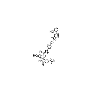 Cc1ncsc1-c1ccc([Si@H](C)NC(=O)[C@@H]2C[C@@H](O)CN2C(=O)[C@@H](c2cc(-c3ccc(N4CC(c5sc6nnc(-c7ccccc7O)cc6c5C)C4)nc3)no2)C(C)C)cc1